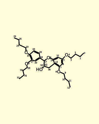 CCCCOc1cc(OCCCC)c2c(c1)OC(c1ccc(OCCCC)c(OCCCC)c1)[C@@H](O)C2